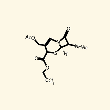 CC(=O)NC1C(=O)N2C=C(COC(C)=O)C(C(=O)OCC(Cl)(Cl)Cl)S[C@H]12